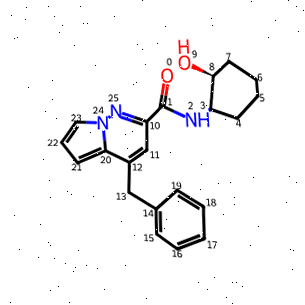 O=C(N[C@H]1CCCC[C@@H]1O)c1cc(Cc2ccccc2)c2cccn2n1